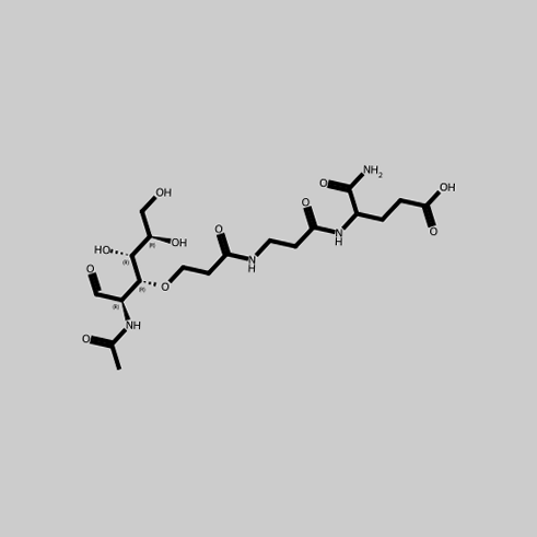 CC(=O)N[C@@H](C=O)[C@@H](OCCC(=O)NCCC(=O)NC(CCC(=O)O)C(N)=O)[C@H](O)[C@H](O)CO